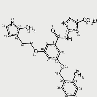 CCOC(=O)c1cnc(NC(=O)c2cc(OCCc3scnc3C)cc(OCc3ccccc3C)c2)s1